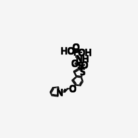 O=P(O)(O)CNS(=O)(=O)c1cc2cc(OCC[n+]3ccccc3)ccc2s1